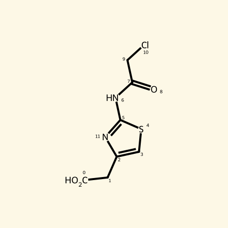 O=C(O)Cc1csc(NC(=O)CCl)n1